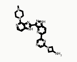 CN1CCN(c2nccc3[nH]c(-c4n[nH]c5ccc(-c6cncc(N7CC(N)C7)n6)nc45)nc23)CC1